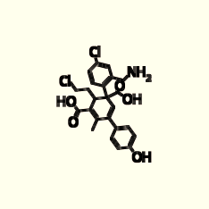 CC1=C(C(=O)O)C(CCCl)C(C(=O)O)(c2ccc(Cl)cc2CN)C=C1c1ccc(O)cc1